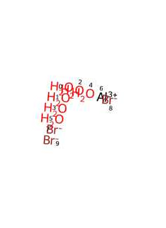 O.O.O.O.O.O.[Al+3].[Br-].[Br-].[Br-]